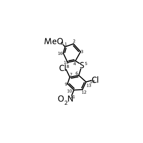 COc1ccc(Sc2c(Cl)cc([N+](=O)[O-])cc2Cl)cc1